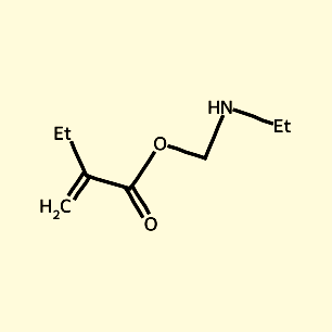 C=C(CC)C(=O)OCNCC